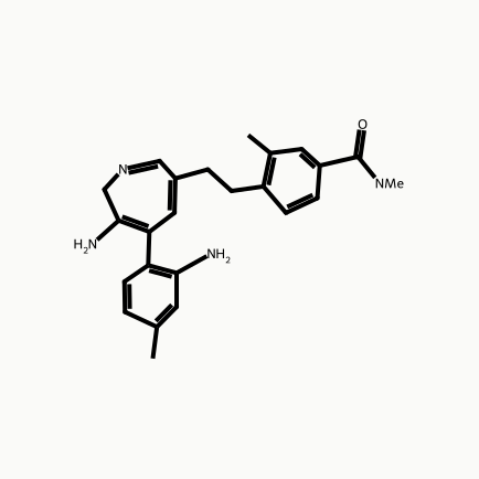 CNC(=O)c1ccc(CCC2=CC(c3ccc(C)cc3N)=C(N)CN=C2)c(C)c1